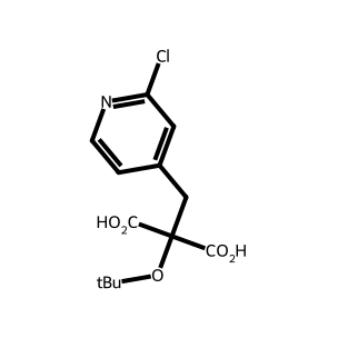 CC(C)(C)OC(Cc1ccnc(Cl)c1)(C(=O)O)C(=O)O